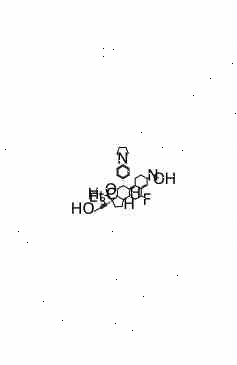 CCC(=O)[C@@]1(C#CCO)CC[C@H]2[C@@H]3CC(F)C4=CC(=NO)CCC4=C3[C@@H](c3ccc(N4CCCC4)cc3)C[C@@]21C